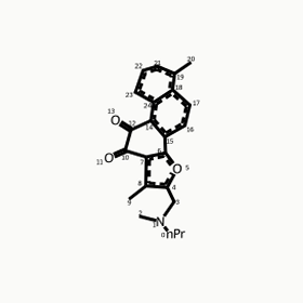 CCCN(C)Cc1oc2c(c1C)C(=O)C(=O)c1c-2ccc2c(C)cccc12